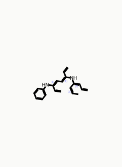 C=C/C=C(\C=C/C)N/C(C=C)=C/C=C(\C=C)Nc1ccccc1